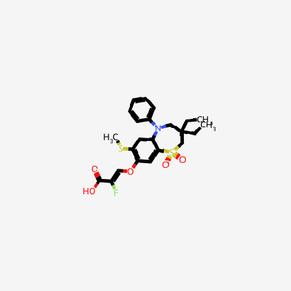 CCC1(CC)CN(c2ccccc2)C2CC(SC)=C(O/C=C(\F)C(=O)O)C=C2S(=O)(=O)C1